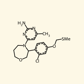 CSCOc1ccc(C2COCCCN2c2cc(C)nc(N)n2)c(Cl)c1